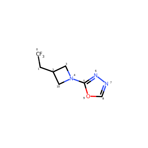 FC(F)(F)CC1CN(c2nnco2)C1